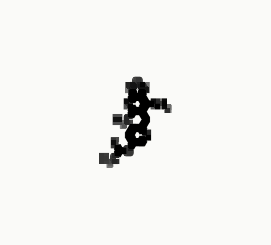 Cc1nc2nonc2c(N)c1Cc1ccc(OC(C)F)cn1